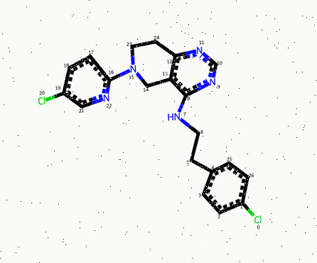 Clc1ccc(CCNc2ncnc3c2CN(c2ccc(Cl)cn2)CC3)cc1